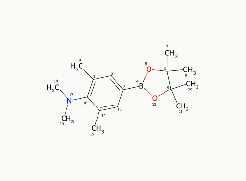 Cc1cc(B2OC(C)(C)C(C)(C)O2)cc(C)c1N(C)C